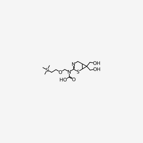 C[Si](C)(C)CCOCN(C(=O)O)C1=NCC2C(S1)C2(CO)CO